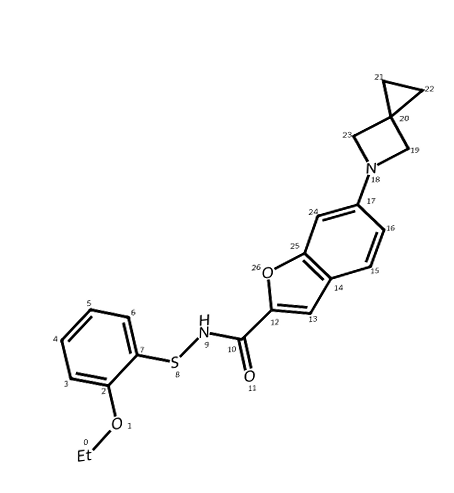 CCOc1ccccc1SNC(=O)c1cc2ccc(N3CC4(CC4)C3)cc2o1